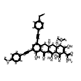 CCc1ccc(C#Cc2cc(C#Cc3ccc(OC)cc3)c(O)c3c2C[C@H]2C[C@H]4[C@H](N(C)C)C(O)=C(C(N)=O)C(=O)[C@@]4(O)C(O)=C2C3=O)cc1